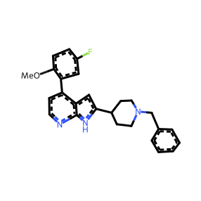 COc1ccc(F)cc1-c1ccnc2[nH]c(C3CCN(Cc4ccccc4)CC3)cc12